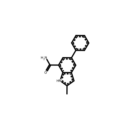 Cc1cc2cc(-c3ccccc3)cc(C(N)=O)c2[nH]1